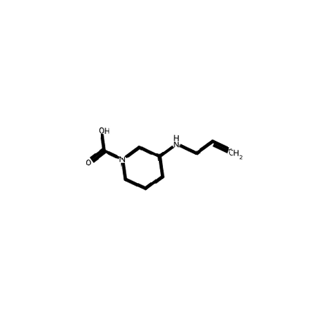 C=CCNC1CCCN(C(=O)O)C1